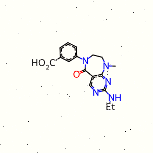 CCNc1ncc2c(n1)N(C)CCN(c1cccc(C(=O)O)c1)C2=O